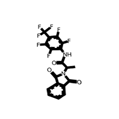 CC(C(=O)Nc1c(F)c(F)c(C(F)(F)F)c(F)c1F)N1C(=O)c2ccccc2C1=O